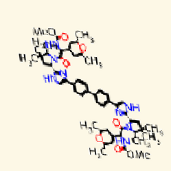 COC(=O)N[C@H](C(=O)N1[C@H](c2nc(-c3ccc(-c4ccc(-c5c[nH]c([C@@H]6CC(C)(C)[C@@H](C)N6C(=O)[C@@H](NC(=O)OC)C6C[C@@H](C)O[C@H](C)C6)n5)cc4)cc3)c[nH]2)CC(C)(C)[C@H]1C)C1C[C@@H](C)O[C@H](C)C1